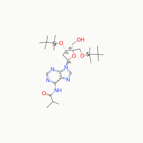 CC(C)C(=O)Nc1ncnc2c1ncn2[C@H]1C[C@H](O[Si](C)(C)C(C)(C)C)[C@@](CO)(CO[Si](C)(C)C(C)(C)C)O1